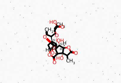 C=CC(CCC)[C@@H]1CC2OC(=O)[C@@]34O[C@H]5OC(=O)[C@@H](OCC(=O)O)C51[C@]23[C@H](O)[C@H]1OC(=O)C(C)[C@]14O